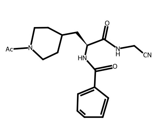 CC(=O)N1CCC(C[C@H](NC(=O)c2ccccc2)C(=O)NCC#N)CC1